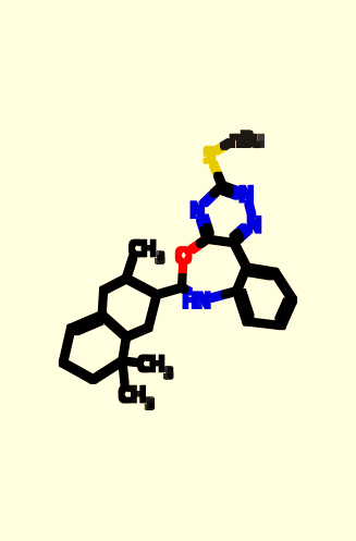 CCCCSc1nnc2c(n1)OC(C1CC3C(=CCCC3(C)C)CC1C)Nc1ccccc1-2